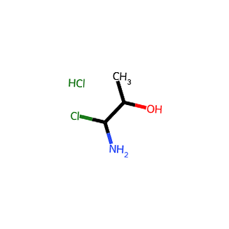 CC(O)C(N)Cl.Cl